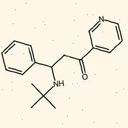 CC(C)(C)NC(CC(=O)c1cccnc1)c1ccccc1